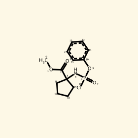 COC(=O)C1(NP(=O)(Cl)Oc2ccccc2)CCCC1